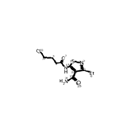 CCc1nsc(NC(=O)CCCCl)c1C(N)=O